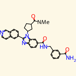 CNC(=O)C1CCC(n2c(-c3ccc4cnccc4c3)nc3ccc(C(=O)NCc4cccc(C(N)=O)c4)cc32)C1